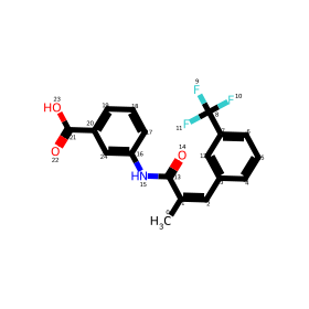 CC(=Cc1cccc(C(F)(F)F)c1)C(=O)Nc1cccc(C(=O)O)c1